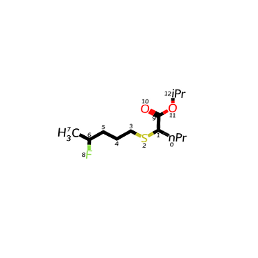 CCCC(SCCCC(C)F)C(=O)OC(C)C